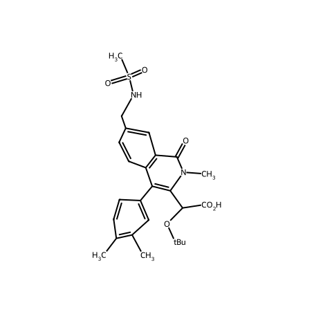 Cc1ccc(-c2c(C(OC(C)(C)C)C(=O)O)n(C)c(=O)c3cc(CNS(C)(=O)=O)ccc23)cc1C